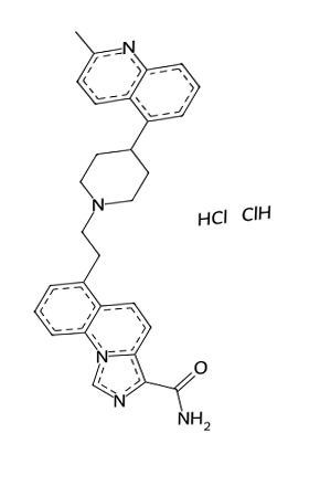 Cc1ccc2c(C3CCN(CCc4cccc5c4ccc4c(C(N)=O)ncn45)CC3)cccc2n1.Cl.Cl